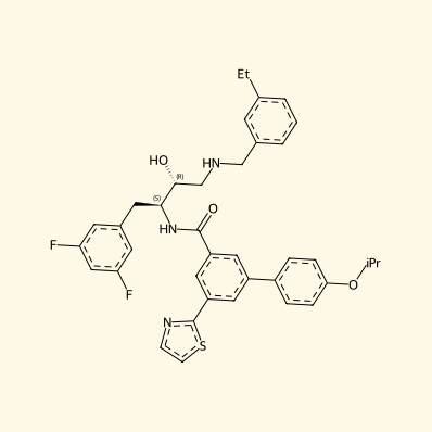 CCc1cccc(CNC[C@@H](O)[C@H](Cc2cc(F)cc(F)c2)NC(=O)c2cc(-c3ccc(OC(C)C)cc3)cc(-c3nccs3)c2)c1